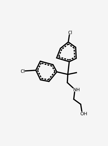 CC(CNCCO)(c1ccc(Cl)cc1)c1ccc(Cl)cc1